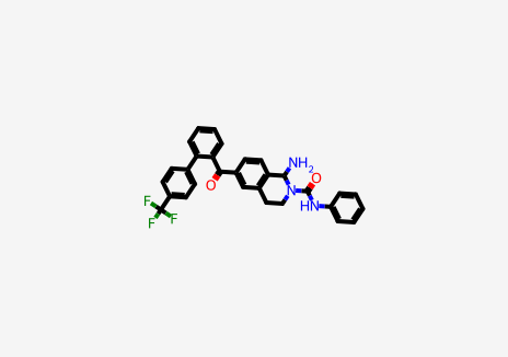 NC1c2ccc(C(=O)c3ccccc3-c3ccc(C(F)(F)F)cc3)cc2CCN1C(=O)Nc1ccccc1